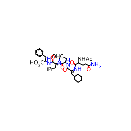 CC(=O)NC(CCC(N)=O)C(=O)N[C@@H](CC1CCCCC1)C(=O)NC(CC=O)C(=O)N(C)[C@@H](CC(C)C)C(=O)NC(Cc1ccccc1)C(=O)O